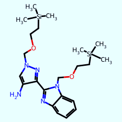 C[Si](C)(C)CCOCn1cc(N)c(-c2nc3ccccc3n2COCC[Si](C)(C)C)n1